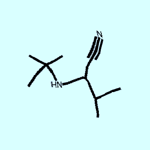 CC(C)C(C#N)NC(C)(C)C